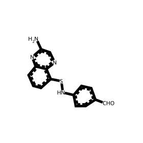 Nc1cnc2c(SNc3ccc(C=O)cc3)cccc2n1